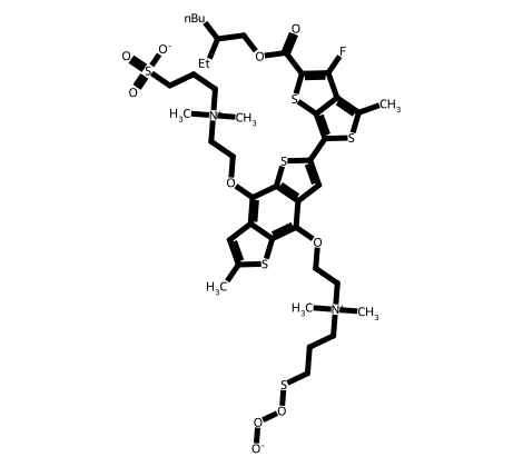 CCCCC(CC)COC(=O)c1sc2c(-c3cc4c(OCC[N+](C)(C)CCCSOO[O-])c5sc(C)cc5c(OCC[N+](C)(C)CCCS(=O)(=O)[O-])c4s3)sc(C)c2c1F